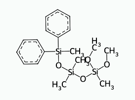 CO[Si](C)(OC)O[Si](C)(C)O[Si](C)(c1ccccc1)c1ccccc1